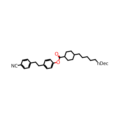 CCCCCCCCCCCCCCCC1CCC(C(=O)Oc2ccc(CCc3ccc(C#N)cc3)cc2)CC1